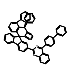 c1ccc(-c2ccc(-c3nc(-c4ccc5c(c4)C4(c6ccccc6-5)c5ccccc5C5(c6ccccc6)c6ccccc6-c6cccc4c65)nc4ccccc34)cc2)cc1